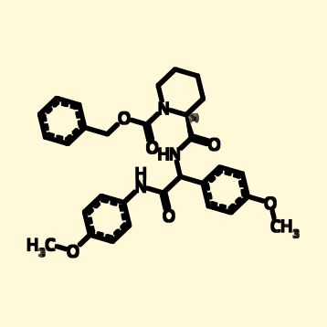 COc1ccc(NC(=O)C(NC(=O)[C@@H]2CCCCN2C(=O)OCc2ccccc2)c2ccc(OC)cc2)cc1